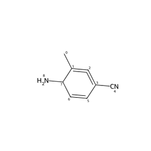 CC1=C=C(C#N)C=CC1N